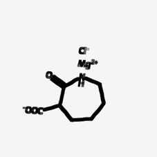 O=C([O-])C1CCCCNC1=O.[Cl-].[Mg+2]